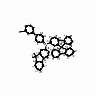 Cc1cccc(-c2ccc(N(c3ccc4c(c3)C(C)(C)c3ccccc3-4)c3ccc4c(c3)C3(c5ccccc5-c5ccccc53)c3ccccc3-4)cc2)c1